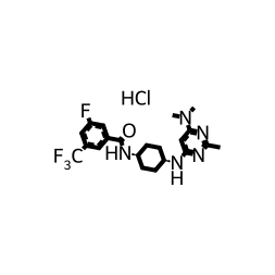 Cc1nc(N[C@H]2CC[C@@H](NC(=O)c3cc(F)cc(C(F)(F)F)c3)CC2)cc(N(C)C)n1.Cl